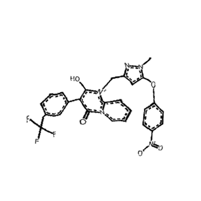 Cn1nc(C[n+]2c(O)c(-c3cccc(C(F)(F)F)c3)c(=O)n3ccccc32)cc1Oc1ccc([N+](=O)[O-])cc1